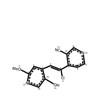 COc1cc(/C=C(\Cl)c2ccncc2C#N)c(O)cn1